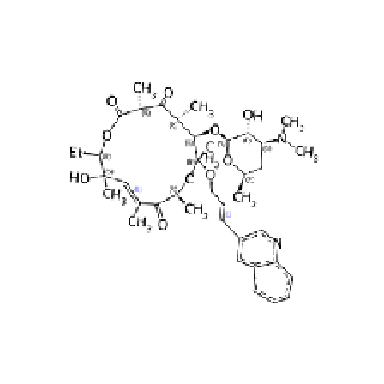 CC[C@H]1OC(=O)[C@H](C)C(=O)[C@H](C)[C@@H](O[C@@H]2O[C@H](C)C[C@H](N(C)C)[C@H]2O)[C@](C)(OC/C=C/c2cnc3ccccc3c2)C[C@@H](C)C(=O)/C(C)=C/[C@]1(C)O